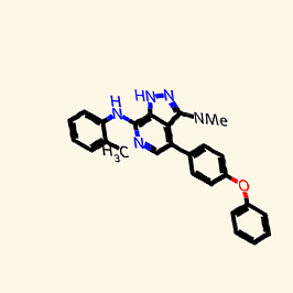 CNc1n[nH]c2c(Nc3ccccc3C)ncc(-c3ccc(Oc4ccccc4)cc3)c12